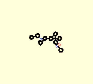 C1=CCC(c2nc3ccc(C4(c5ccccc5)c5ccccc5-c5cc(-c6ccc7c(c6)c6ccccc6n7-c6cccc(-c7ccccc7)c6)ccc54)cc3o2)C=C1